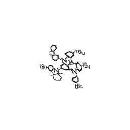 CC(C)(C)c1ccc(N2c3ccc(C(C)(C)C)cc3B3c4cc(C(C)(C)C)ccc4N(c4ccc5sc6ccccc6c5c4)c4cc(N5c6ccc(C(C)(C)C)cc6C6(C)CCCCC56C)cc2c43)cc1